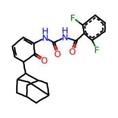 O=C(NC(=O)c1c(F)cccc1F)NC1=CC=CC(C2C3CC4CC(C3)CC2C4)C1=O